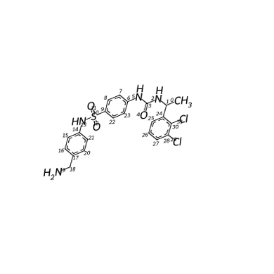 CC(NC(=O)Nc1ccc(S(=O)(=O)Nc2ccc(CN)cc2)cc1)c1cccc(Cl)c1Cl